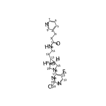 O=C(CCc1cccnc1)NCCC1[C@H]2CN(c3nc(Cl)ncc3F)C[C@@H]12